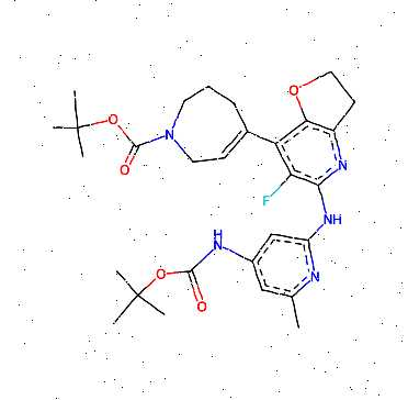 Cc1cc(NC(=O)OC(C)(C)C)cc(Nc2nc3c(c(C4=CCN(C(=O)OC(C)(C)C)CCC4)c2F)OCC3)n1